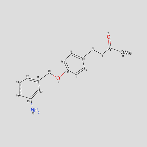 COC(=O)CCc1ccc(OCc2cccc(N)c2)cc1